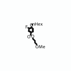 CCCCCCOc1ccc(C(=O)OCCCCOC)cc1F